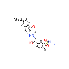 COc1ccc2c(c1)CC[C@@H](CNC[C@H](O)c1ccc(C)c(S(N)(=O)=O)c1)C2=O